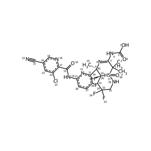 CC1(C)C(NC(=O)O)=N[C@](C)(c2nc(NC(=O)c3ncc(C#N)cc3Cl)ccc2F)[C@H]2CC(F)(F)CN[SH]21=O